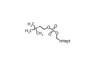 CCCCCCCCOS(=O)(=O)OCC[N+](C)(C)C